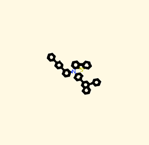 c1ccc(-c2ccc(-c3cccc(N(c4ccc(-c5cc(-c6ccccc6)c6ccccc6c5)cc4)c4cccc5c4sc4ccccc45)c3)cc2)cc1